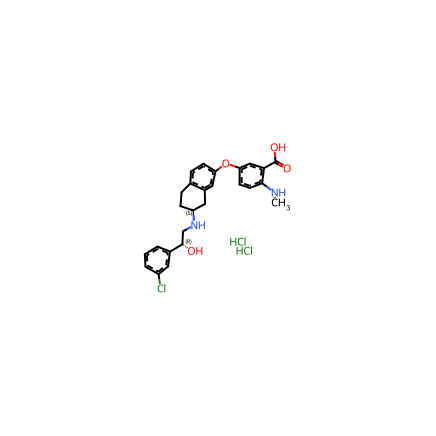 CNc1ccc(Oc2ccc3c(c2)C[C@@H](NC[C@H](O)c2cccc(Cl)c2)CC3)cc1C(=O)O.Cl.Cl